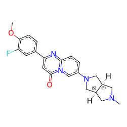 COc1ccc(-c2cc(=O)n3cc(N4C[C@H]5CN(C)C[C@H]5C4)ccc3n2)cc1F